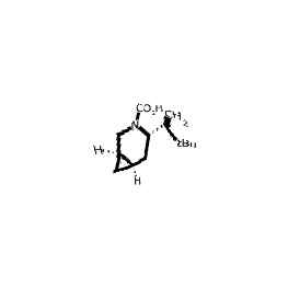 C=C([C@@H]1C[C@H]2C[C@H]2CN1C(=O)O)C(C)(C)C